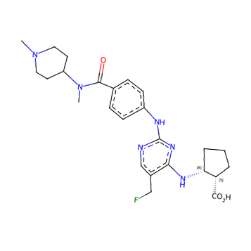 CN1CCC(N(C)C(=O)c2ccc(Nc3ncc(CF)c(N[C@@H]4CCC[C@@H]4C(=O)O)n3)cc2)CC1